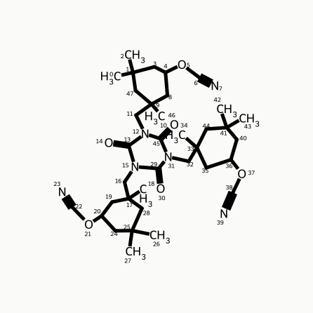 CC1(C)CC(OC#N)CC(C)(Cn2c(=O)n(CC3(C)CC(OC#N)CC(C)(C)C3)c(=O)n(CC3(C)CC(OC#N)CC(C)(C)C3)c2=O)C1